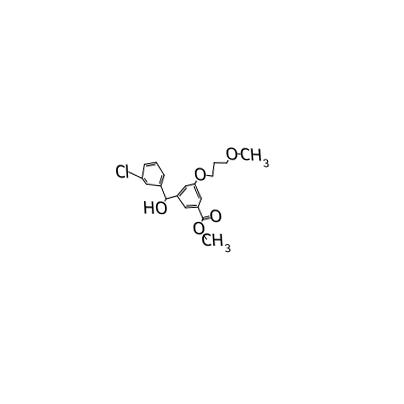 COCCCOc1cc(C(=O)OC)cc(C(O)c2cccc(Cl)c2)c1